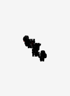 CCNC(=O)O[C@H](C[C@H](C(C)C)N(C)C(=O)[C@@H](NC(=O)C12CCCC(CCC1)N2C)[C@@H](C)CC)c1nc(CN[C@H](CNS(C)(=O)=O)Cc2ccccc2)cs1